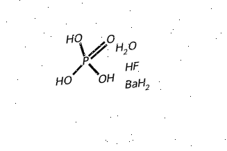 F.O.O=P(O)(O)O.[BaH2]